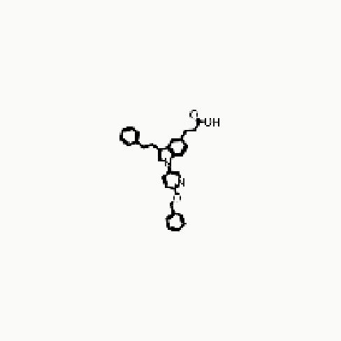 O=C(O)CCc1ccc2c(c1)c(CCc1ccccc1)cn2-c1ccc(OCc2ccccc2)nc1